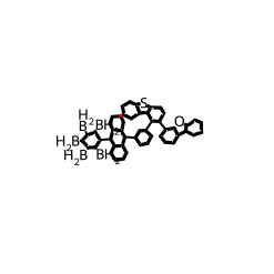 Bc1c(B)c(B)c(-c2c3ccccc3c(-c3cccc(-c4c(-c5cccc6c5oc5ccccc56)ccc5sc6ccccc6c45)c3)c3ccccc23)c(B)c1B